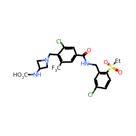 CCS(=O)(=O)c1ccc(Cl)cc1CNC(=O)c1cc(Cl)c(CN2CC(NC(=O)O)C2)c(C(F)(F)F)c1